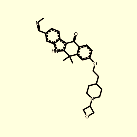 C/N=C\c1ccc2c3c([nH]c2c1)C(C)(C)c1cc(OCCC2CCN(C4COC4)CC2)ccc1C3=O